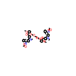 CCOc1cccc(OCCOCCOCCOc2cccc(OCC)c2C(=O)c2ccc3c(c2)c2cc(/C(=N/OC(C)=O)c4ccccc4C)ccc2n3CC)c1C(=O)c1ccc2c(c1)c1cc(/C(=N/OC(C)=O)c3ccccc3C)ccc1n2CC